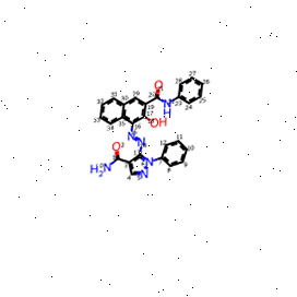 NC(=O)c1cnn(-c2ccccc2)c1/N=N/c1c(O)c(C(=O)Nc2ccccc2)cc2ccccc12